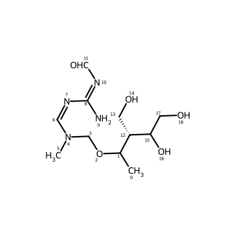 CC(OCN(C)/C=N\C(N)=N/C=O)[C@H](CO)C(O)CO